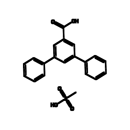 CS(=O)(=O)O.O=C(O)c1cc(-c2ccccc2)cc(-c2ccccc2)c1